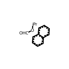 CC(C)OC=O.c1ccc2ccccc2c1